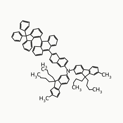 CCCCC1(CCCC)c2cc(C)ccc2-c2ccc(N(c3ccc4c(c3)C(CCCC)(CCCC)c3cc(C)ccc3-4)c3ccc4cc(-c5c6ccccc6c(-c6cccc7c6-c6ccccc6C7(c6ccccc6)c6ccccc6)c6ccccc56)ccc4c3)cc21